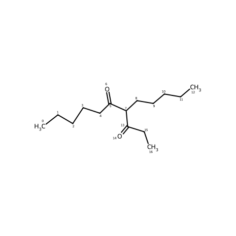 CCCCCC(=O)C(CCCCC)C(=O)CC